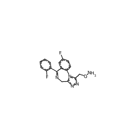 NOCc1nnc2n1-c1ccc(F)cc1C(c1ccccc1F)=NC2